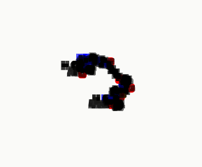 CN[C@@H](C)C(=O)NC(C(=O)N1CCC[C@H]1c1nc(C(=O)c2cccc(OCCCCCCC(=O)N3CCN(c4ccc(Nc5ncc6c(C)c(C(C)=O)c(=O)n(C7CCCC7)c6n5)nc4)CC3)c2)cs1)C1CCCCC1